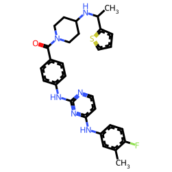 Cc1cc(Nc2ccnc(Nc3ccc(C(=O)N4CCC(NC(C)c5cccs5)CC4)cc3)n2)ccc1F